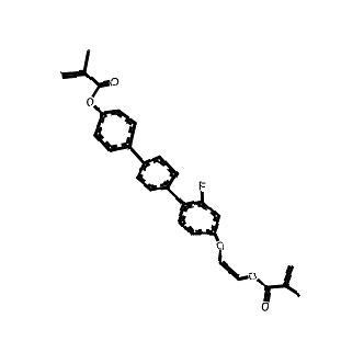 C=C(C)C(=O)O/C=C\Oc1ccc(-c2ccc(-c3ccc(OC(=O)C(=C)C)cc3)cc2)c(F)c1